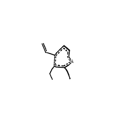 C=Cc1ccnc(C)c1CC